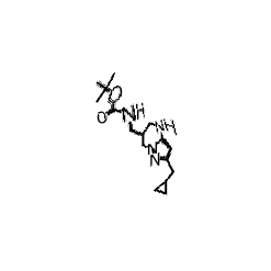 CC(C)(C)OC(=O)NCC1CNc2cc(CC3CC3)nn2C1